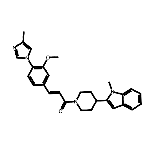 COc1cc(C=CC(=O)N2CCC(c3cc4ccccc4n3C)CC2)ccc1-n1cnc(C)c1